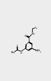 CC(=O)CNC(=O)c1cc(N)cc(NC(=O)C(C)(C)C)c1